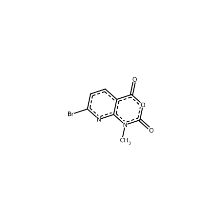 Cn1c(=O)oc(=O)c2ccc(Br)nc21